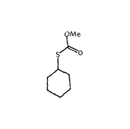 COC(=O)SC1CCCCC1